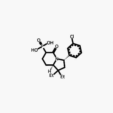 CCC1(CC)C[C@@H](c2cccc(Cl)c2)N2C(=O)C(P(=O)(O)O)CC[C@@H]21